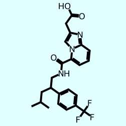 CC(C)CC(CNC(=O)c1cccc2nc(CC(=O)O)cn12)c1ccc(C(F)(F)F)cc1